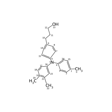 Cc1ccc(N(c2ccc(CCCO)cc2)c2ccc(C)c(C)c2)cc1